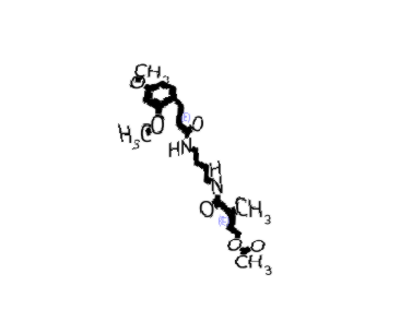 COc1ccc(/C=C/C(=O)NCCCCNC(=O)/C(C)=C/COC(C)=O)c(OC)c1